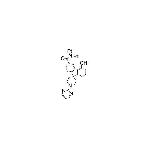 CCN(CC)C(=O)c1ccc(C2(c3cccc(O)c3)CCN(c3ncccn3)CC2)cc1